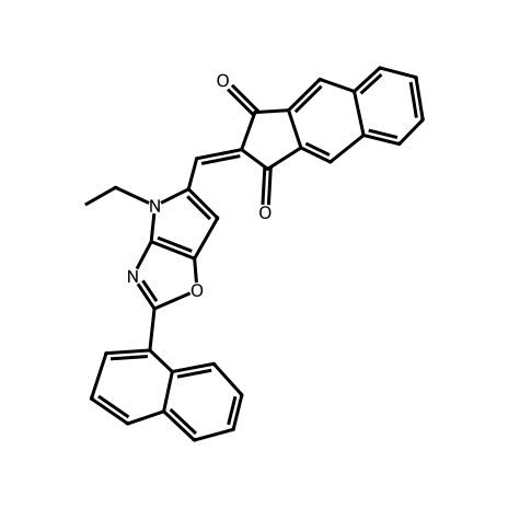 CCn1c(C=C2C(=O)c3cc4ccccc4cc3C2=O)cc2oc(-c3cccc4ccccc34)nc21